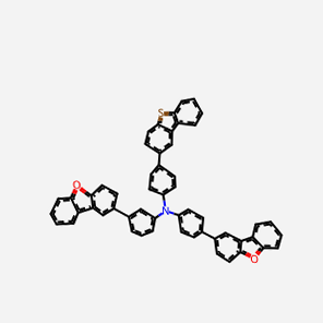 c1cc(-c2ccc3oc4ccccc4c3c2)cc(N(c2ccc(-c3ccc4oc5ccccc5c4c3)cc2)c2ccc(-c3ccc4sc5ccccc5c4c3)cc2)c1